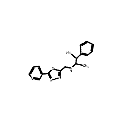 CC(NCc1nnc(-c2cccnc2)o1)C(O)c1ccccc1